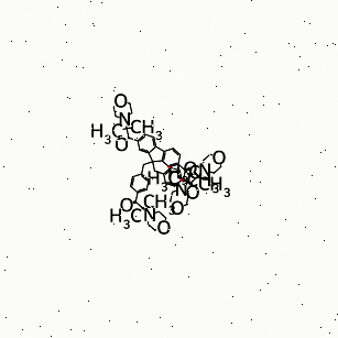 CC(C)(C(=O)c1ccc(CC2(Cc3ccc(C(=O)C(C)(C)N4CCOCC4)cc3)c3cc(C(=O)C(C)(C)N4CCOCC4)ccc3-c3ccc(C(=O)C(C)(C)N4CCOCC4)cc32)cc1)N1CCOCC1